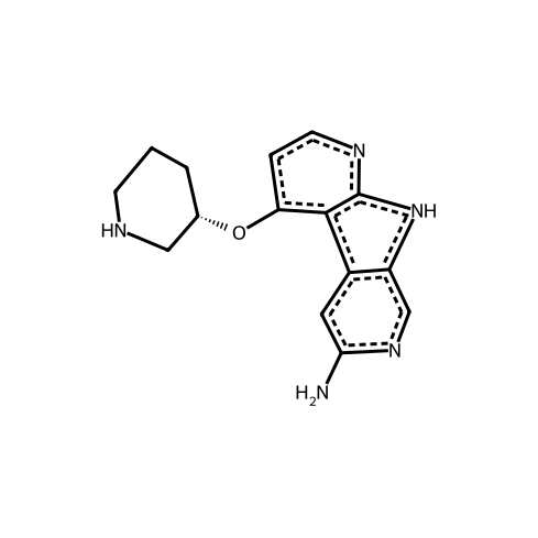 Nc1cc2c(cn1)[nH]c1nccc(O[C@H]3CCCNC3)c12